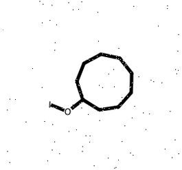 IOC1CCCCCCCC1